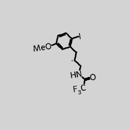 COc1ccc(I)c(C[CH]CNC(=O)C(F)(F)F)c1